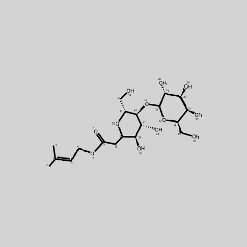 CC(C)=CCOC(=O)CC1O[C@H](CO)[C@@H](OC2O[C@H](CO)[C@H](O)[C@H](O)[C@H]2O)[C@H](O)[C@H]1O